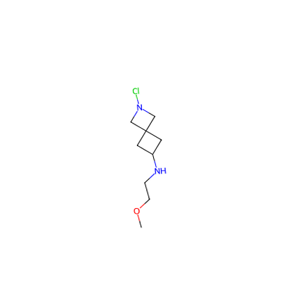 COCCNC1CC2(C1)CN(Cl)C2